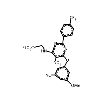 CCOC(=O)CNc1nc(-c2ccc(C(F)(F)F)cc2)nc(Oc2cc(C#N)cc(OC)c2)c1[N+](=O)[O-]